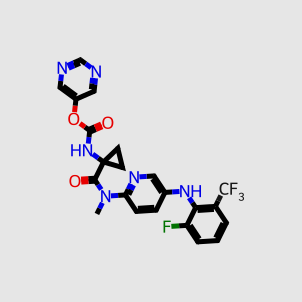 CN(C(=O)C1(NC(=O)Oc2cncnc2)CC1)c1ccc(Nc2c(F)cccc2C(F)(F)F)cn1